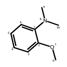 COc1c[c]ccc1N(C)C